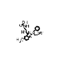 Cc1ccc2nc(N3CC[S+]([O-])c4ccccc4C3)nc(NCCNC(=O)O)c2c1